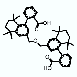 CC1(C)CCC(C)(C)c2c(-c3ccccc3C(=O)O)cc(COCc3cc(-c4ccccc4C(=O)O)c4c(c3)C(C)(C)CCC4(C)C)cc21